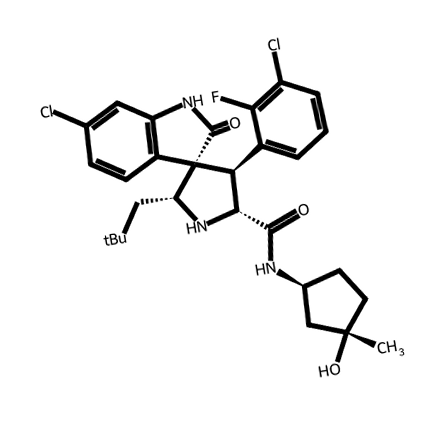 CC(C)(C)C[C@H]1N[C@@H](C(=O)N[C@H]2CC[C@](C)(O)C2)[C@H](c2cccc(Cl)c2F)[C@@]12C(=O)Nc1cc(Cl)ccc12